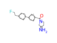 N[C@H]1CCN(C(=O)c2[c]cc(-c3ccc(CCF)cc3)cc2)C1